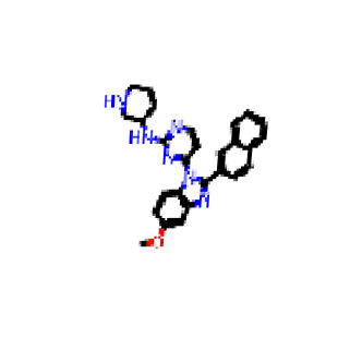 COc1ccc2c(c1)nc(-c1ccc3ccccc3c1)n2-c1ccnc(NC2CCCNC2)n1